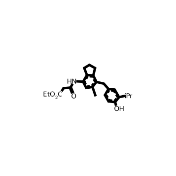 CCOC(=O)CC(=O)Nc1cc(C)c(Cc2ccc(O)c(C(C)C)c2)c2c1CCC2